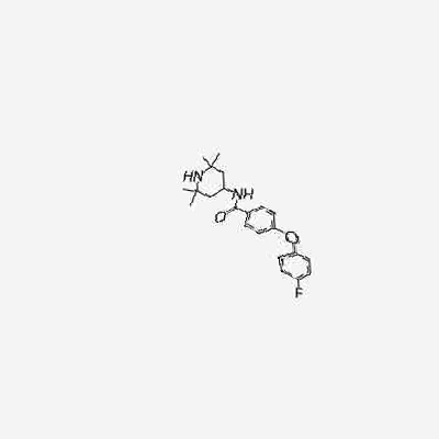 CC1(C)CC(NC(=O)c2ccc(Oc3ccc(F)cc3)cc2)CC(C)(C)N1